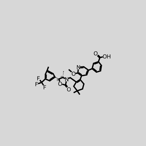 COc1ncc(-c2cccc(C(=O)O)c2)cc1C1=C(CN2C(=O)O[C@H](c3cc(C)cc(C(F)(F)F)c3)[C@@H]2C)CC(C)(C)CC1